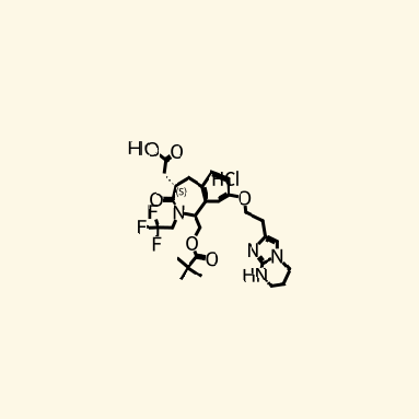 CC(C)(C)C(=O)OCC1c2cc(OCCc3cn4c(n3)NCCC4)ccc2C[C@@H](CC(=O)O)C(=O)N1CC(F)(F)F.Cl